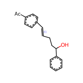 CC(=O)c1ccc(/C=C/CCC(O)c2ccccc2)cc1